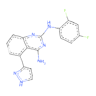 Nc1nc(Nc2ccc(F)cc2F)nc2cccc(-c3cc[nH]n3)c12